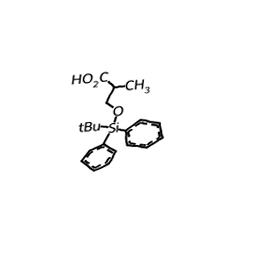 CC(CO[Si](c1ccccc1)(c1ccccc1)C(C)(C)C)C(=O)O